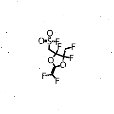 O=S(=O)(F)CC1(F)OC(=C(F)F)OC1(F)CF